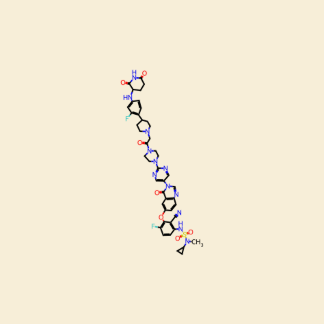 CN(C1CC1)S(=O)(=O)Nc1ccc(F)c(Oc2ccc3ncn(-c4cnc(N5CCN(C(=O)CN6CCC(c7ccc(NC8CCC(=O)NC8=O)cc7F)CC6)CC5)nc4)c(=O)c3c2)c1C#N